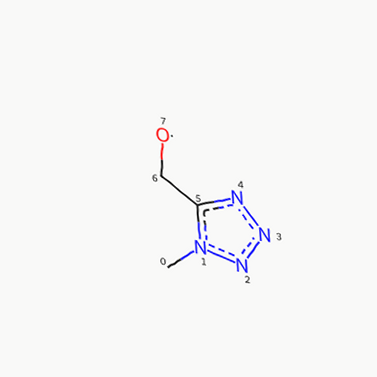 Cn1nnnc1C[O]